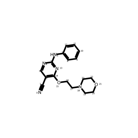 N#Cc1cnc(Nc2ccccc2)nc1OCCN1CCOCC1